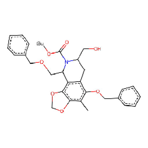 Cc1c(OCc2ccccc2)c2c(c3c1OCO3)C(COCc1ccccc1)N(C(=O)OC(C)(C)C)C(CO)C2